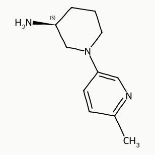 Cc1ccc(N2CCC[C@H](N)C2)cn1